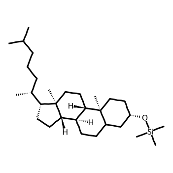 CC(C)CCC[C@@H](C)[C@H]1CC[C@H]2[C@@H]3CCC4C[C@@H](O[Si](C)(C)C)CC[C@]4(C)[C@H]3CC[C@]12C